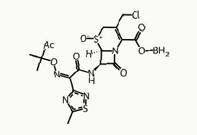 BOC(=O)C1=C(CCl)C[S+]([O-])[C@@H]2[C@H](NC(=O)/C(=N\OC(C)(C)C(C)=O)c3nsc(C)n3)C(=O)N12